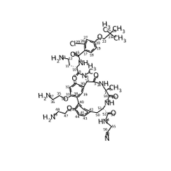 C[C@@H]1NC(=O)[C@@H](N(C)C(=O)[C@H](CCN)NC(=O)c2ccc(OCC(C)(C)C)cc2Cl)c2ccc(OCCN)c(c2)-c2cc(ccc2OCCN)C[C@@H](C(=O)NCC#N)NC1=O